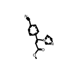 COC(=O)C=C(c1ccc(C#N)cc1)n1ccnc1